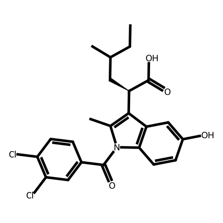 CCC(C)C[C@@H](C(=O)O)c1c(C)n(C(=O)c2ccc(Cl)c(Cl)c2)c2ccc(O)cc12